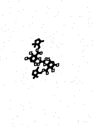 CC1CCC(C)(C)C1COC(=O)c1c(Cl)c(Cl)cc(Cl)c1OC(=O)C(=O)Oc1c(Cl)cc(Cl)c(Cl)c1C(=O)OCC1C(C)CCC1(C)C